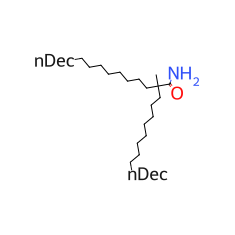 CCCCCCCCCCCCCCCCCCC(C)(CCCCCCCCCCCCCCCCCC)C(N)=O